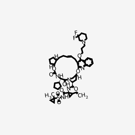 C=CC1C[C@]1(NC(=O)[C@@H]1C[C@@H]2CN1C(=O)[C@H](C1CCCC1)NC(=O)O[C@@H]1CCC[C@H]1CC/C=C/Cc1c(nc3ccccc3c1OCCCN1CCCC(F)(F)C1)O2)C(=O)NS(=O)(=O)C1(C)CC1